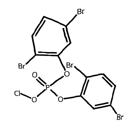 O=P(OCl)(Oc1cc(Br)ccc1Br)Oc1cc(Br)ccc1Br